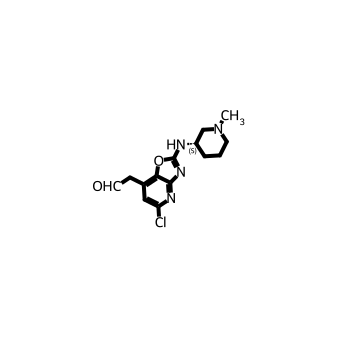 CN1CCC[C@H](Nc2nc3nc(Cl)cc(CC=O)c3o2)C1